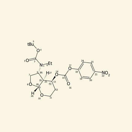 CCN(C(=O)OC(C)(C)C)[C@H]1CO[C@H]2OCC[C@H](OC(=O)Oc3ccc([N+](=O)[O-])cc3)[C@@H]21